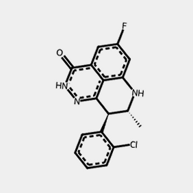 C[C@H]1Nc2cc(F)cc3c(=O)[nH]nc(c23)[C@@H]1c1ccccc1Cl